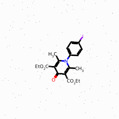 CCOC(=O)c1c(C)n(-c2ccc(I)cc2)c(C)c(C(=O)OCC)c1=O